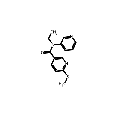 CCN(C(=O)c1ccc(SC)nc1)c1cccnc1